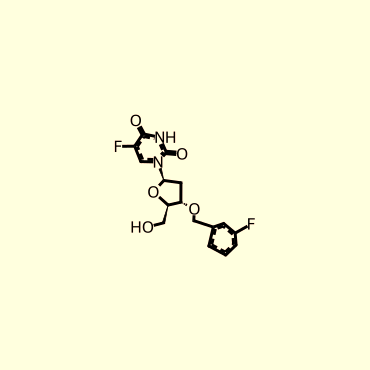 O=c1[nH]c(=O)n([C@H]2C[C@H](OCc3cccc(F)c3)[C@@H](CO)O2)cc1F